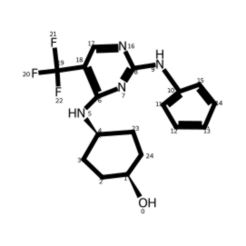 O[C@H]1CC[C@@H](Nc2nc(Nc3cc[c]cc3)ncc2C(F)(F)F)CC1